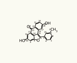 Cc1cccc(-c2oc3cc(O)cc4c3c2-c2cc(O)ccc2C4=O)c1